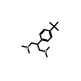 CN(C)CC(CN(C)C)c1ccc(C(C)(C)C)cc1